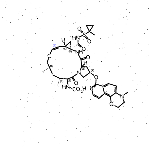 C[C@@H]1CC/C=C\[C@@H]2C[C@@]2(C(=O)NS(=O)(=O)C2(C)CC2)NC(=O)[C@@H]2C[C@@H](Oc3nccc4c5c(ccc34)N(C)CCO5)CN2C(=O)[C@@H](NC(=O)O)[C@H](C)C1